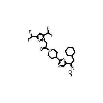 CO/N=C(/CC1CCCCC1)c1csc(C2CCN(C(=O)Cn3nc(C(F)F)cc3C(F)F)CC2)n1